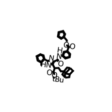 Cc1ccccc1-c1nc(C(=O)Nc2cccc(C(=O)OCc3ccccc3)c2)c(C(CCC23CC4CC(CC(C4)C2)C3)C(=O)OC(C)(C)C)[nH]1